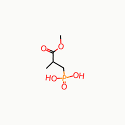 COC(=O)C(C)CP(=O)(O)O